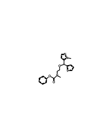 CN(CCOC(c1cccs1)c1ccnn1C)C(=O)Oc1ccccc1